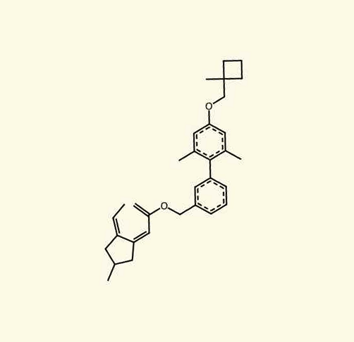 C=C(/C=C1/CC(C)C/C1=C/C)OCc1cccc(-c2c(C)cc(OCC3(C)CCC3)cc2C)c1